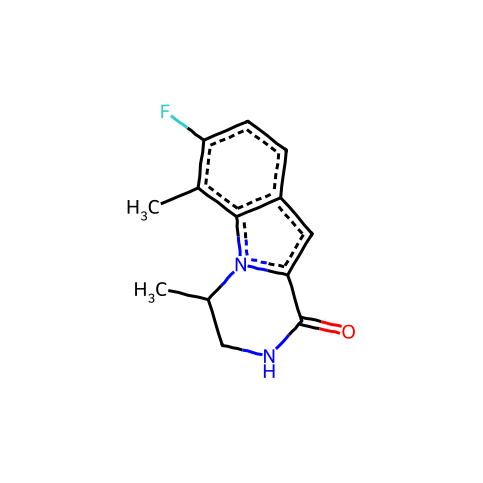 Cc1c(F)ccc2cc3n(c12)C(C)CNC3=O